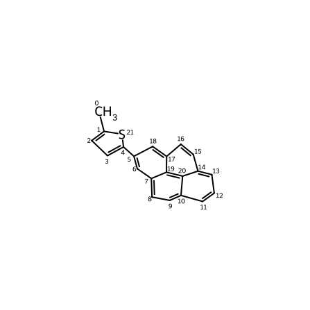 Cc1ccc(-c2cc3ccc4cccc5ccc(c2)c3c45)s1